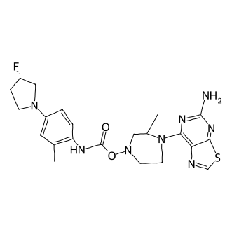 Cc1cc(N2CC[C@H](F)C2)ccc1NC(=O)ON1CCN(c2nc(N)nc3scnc23)C(C)C1